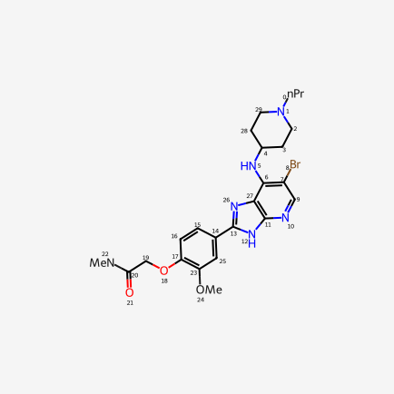 CCCN1CCC(Nc2c(Br)cnc3[nH]c(-c4ccc(OCC(=O)NC)c(OC)c4)nc23)CC1